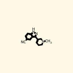 CN1CCC=C(c2n[nH]c3ccc(C#N)cc23)C1